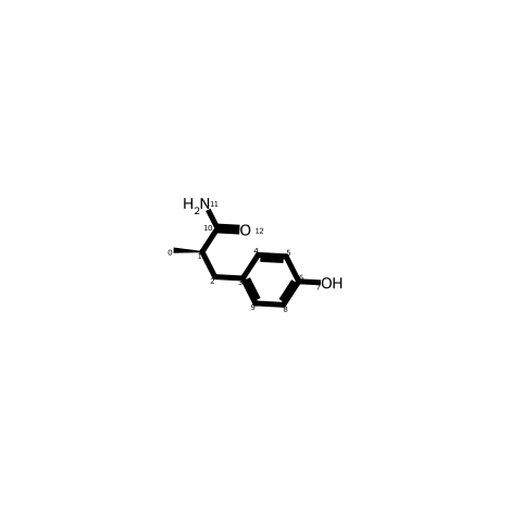 C[C@H](Cc1ccc(O)cc1)C(N)=O